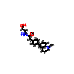 CC(=O)N1CCCc2cc(-c3ccc(CC(=O)NCCO)cc3)ccc21